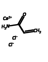 C=CC(N)=O.[Ca+2].[Cl-].[Cl-]